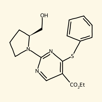 CCOC(=O)c1cnc(N2CCC[C@H]2CO)nc1Sc1ccccc1